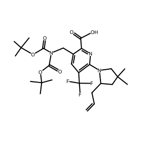 C=CCC1CC(C)(C)CN1c1nc(C(=O)O)c(CN(C(=O)OC(C)(C)C)C(=O)OC(C)(C)C)cc1C(F)(F)F